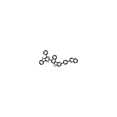 c1ccc(-c2nc(-c3cc4oc5ccc(-c6ccc(-c7ccc8ccccc8c7)cc6)cc5c4c4ccccc34)nc3c2sc2ccccc23)cc1